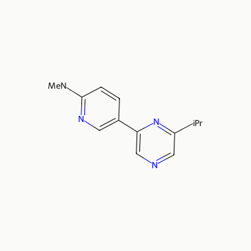 CNc1ccc(-c2cncc(C(C)C)n2)cn1